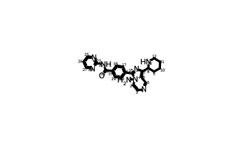 N[N+]12C=CN=CC1=C(C1CCCCN1)N=C2c1ccc(C(=O)Nc2ncccn2)cc1